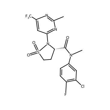 Cc1nc(N2[C@H](C(=O)N(C)c3ccc(F)c(Cl)c3)CCS2(=O)=O)cc(C(F)(F)F)n1